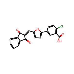 O=C(O)c1cc(-c2ccc(C=C3C(=O)c4ccccc4C3=O)o2)ccc1Cl